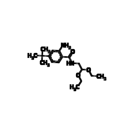 CCOC(CNC(=O)c1ccc(C(C)(C)C)cc1N)OCC